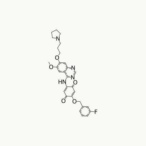 COc1cc2c(NC3=CC(=O)C(OCc4cccc(F)c4)=CC3=O)ncnc2cc1OCCCN1CCCC1